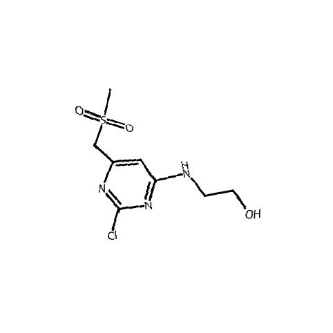 CS(=O)(=O)Cc1cc(NCCO)nc(Cl)n1